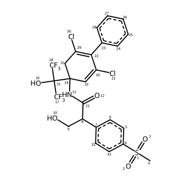 CS(=O)(=O)c1ccc(C(CO)C(=O)NC2(C(O)(C(F)(F)F)C(F)(F)F)C=C(Cl)C(c3ccccc3)=C(Cl)C2)cc1